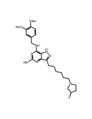 CCCCc1nc(NCc2ccc(OC)c(OC)c2)c2[nH]nc(CCCCCCN3CCC(F)C3)c2n1